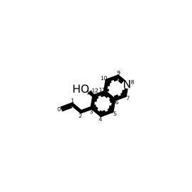 C=CCc1ccc2cnccc2c1O